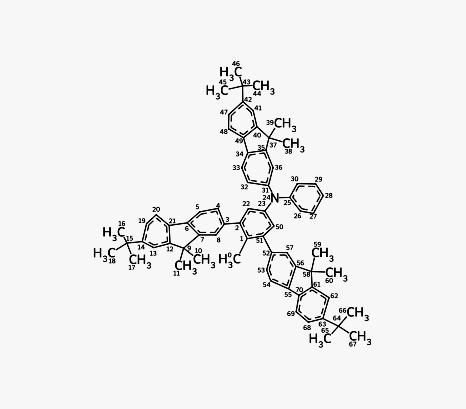 Cc1c(-c2ccc3c(c2)C(C)(C)c2cc(C(C)(C)C)ccc2-3)cc(N(c2ccccc2)c2ccc3c(c2)C(C)(C)c2cc(C(C)(C)C)ccc2-3)cc1-c1ccc2c(c1)C(C)(C)c1cc(C(C)(C)C)ccc1-2